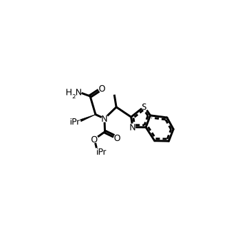 CC(C)OC(=O)N(C(C)c1nc2ccccc2s1)[C@H](C(N)=O)C(C)C